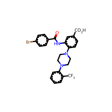 O=C(O)c1ccc(N2CCN(c3ccccc3C(F)(F)F)CC2)c(NC(=O)c2ccc(Br)cc2)c1